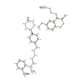 COCCCN1C(=O)CCc2ccc(CO[C@H]3CNCC[C@@H]3c3ccc(OCCCOC(C)c4ccccc4OC)cc3)cc21